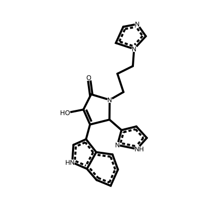 O=C1C(O)=C(c2c[nH]c3ccccc23)C(c2cc[nH]n2)N1CCCn1ccnc1